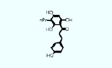 CCCc1c(O)cc(O)c(C(=O)CCc2ccc(O)cc2)c1O